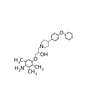 Cc1cc(OCC(O)CN2CCC(c3ccc(Oc4ccccc4)cc3)CC2)c(C)c(C)c1N